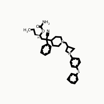 CCC[C@H](CC(C#N)(c1ccccc1)C1CCN(CC2CN(c3ccc(Sc4ccccc4)cc3)C2)CC1)OC(N)=O